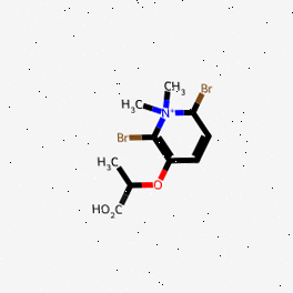 CC(OC1=C(Br)[N+](C)(C)C(Br)C=C1)C(=O)O